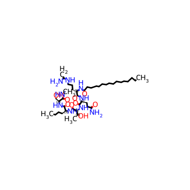 C=C(N)NCCC[C@H](NC(=O)CCCCCCCCCCCCCCC)C(=O)N[C@@H](CCC(N)=O)C(=O)N[C@H](C(=O)N[C@@H](CCCC)C(=O)N[C@@H](CO)C(=O)NC)[C@@H](C)O